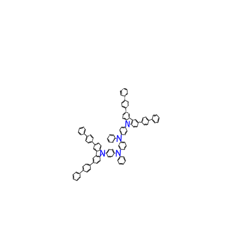 c1ccc(-c2ccc(-c3ccc4c(c3)c3cc(-c5ccc(-c6ccccc6)cc5)ccc3n4-c3ccc(N(c4ccccc4)c4cccc(N(c5ccccc5)c5ccc(-n6c7ccc(-c8ccc(-c9ccccc9)cc8)cc7c7cc(-c8ccc(-c9ccccc9)cc8)ccc76)cc5)c4)cc3)cc2)cc1